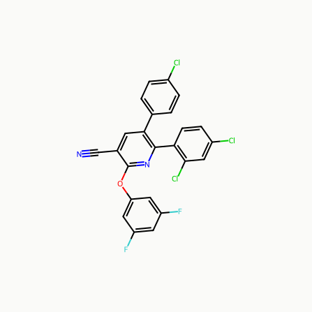 N#Cc1cc(-c2ccc(Cl)cc2)c(-c2ccc(Cl)cc2Cl)nc1Oc1cc(F)cc(F)c1